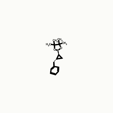 CC1(C)OB([C@H]2C[C@@H]2Cc2ccccc2)OC1(C)C